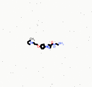 CC1CCCN1CCCOc1ccc(-n2cc(C(=O)NCCN)cn2)cc1